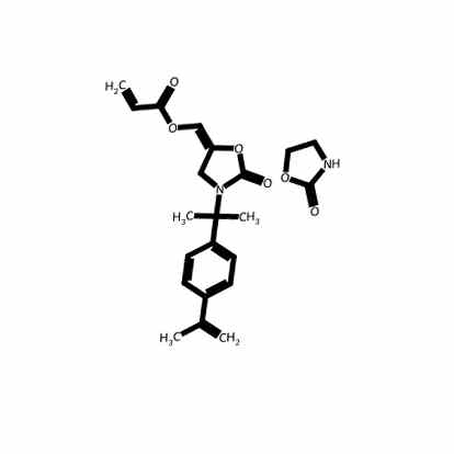 C=CC(=O)O/C=C1\CN(C(C)(C)c2ccc(C(=C)C)cc2)C(=O)O1.O=C1NCCO1